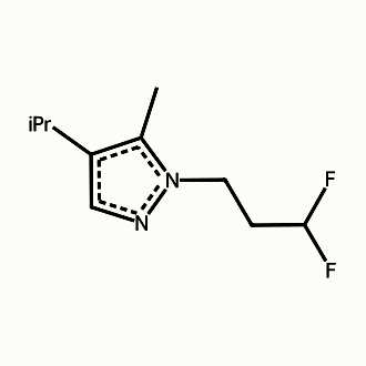 Cc1c(C(C)C)cnn1CCC(F)F